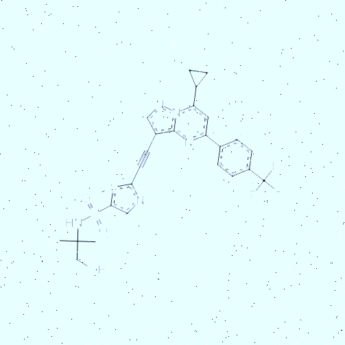 CC(C)(CO)NS(=O)(=O)c1cnc(C#Cc2cnn3c(C4CC4)cc(-c4ccc(C(F)(F)F)cc4)nc23)s1